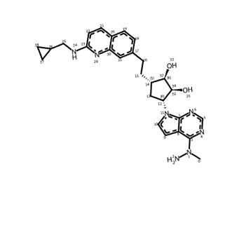 CN(N)c1ncnc2c1ccn2[C@@H]1C[C@H](CCc2ccc3ccc(NCC4CC4)nc3c2)[C@@H](O)[C@H]1O